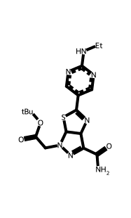 CCNc1ncc(C2=NC3C(C(N)=O)=NN(CC(=O)OC(C)(C)C)C3S2)cn1